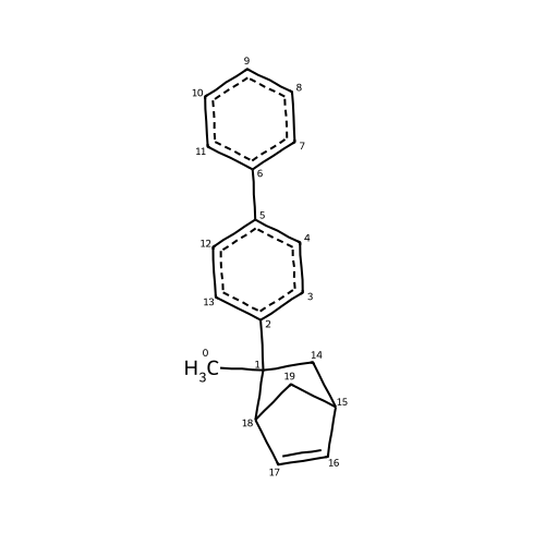 CC1(c2ccc(-c3ccccc3)cc2)CC2C=CC1C2